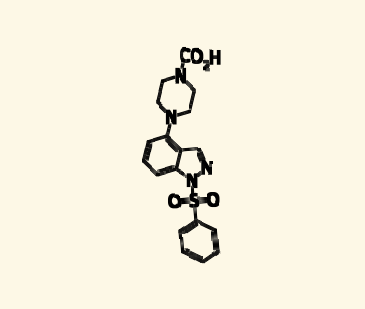 O=C(O)N1CCN(c2cccc3c2cnn3S(=O)(=O)c2ccccc2)CC1